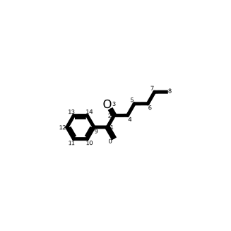 C=C(C(=O)CCCCC)c1ccccc1